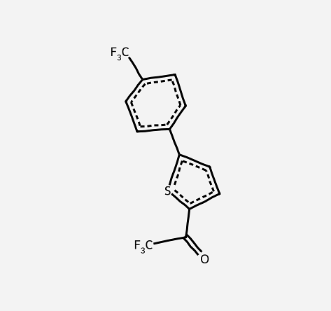 O=C(c1ccc(-c2ccc(C(F)(F)F)cc2)s1)C(F)(F)F